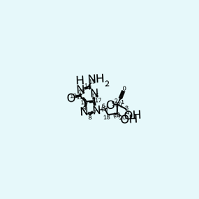 C#C[C@]1(CO)O[C@H](n2cnc3c(=O)[nH]c(N)nc32)C[C@@H]1O